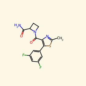 Cc1nc(C(=O)N2CCC2C(N)=O)c(-c2cc(F)cc(F)c2)s1